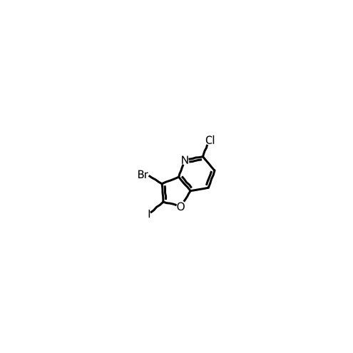 Clc1ccc2oc(I)c(Br)c2n1